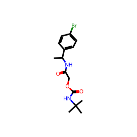 CC(NC(=O)COC(=O)NC(C)(C)C)c1ccc(Br)cc1